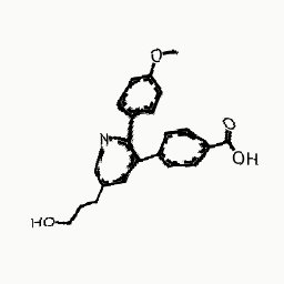 COc1ccc(-c2ncc(CCCO)cc2-c2ccc(C(=O)O)cc2)cc1